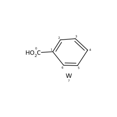 O=C(O)c1ccccc1.[W]